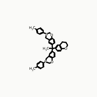 Cc1ccc(N2COc3ccc(C(C)(c4ccc5c(c4)CCCO5)c4ccc5c(c4)CN(c4ccc(C)cc4)CO5)cc3C2)cc1